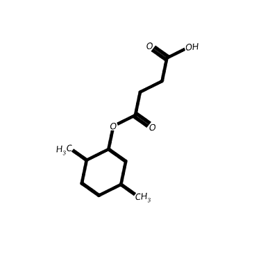 CC1CCC(C)C(OC(=O)CCC(=O)O)C1